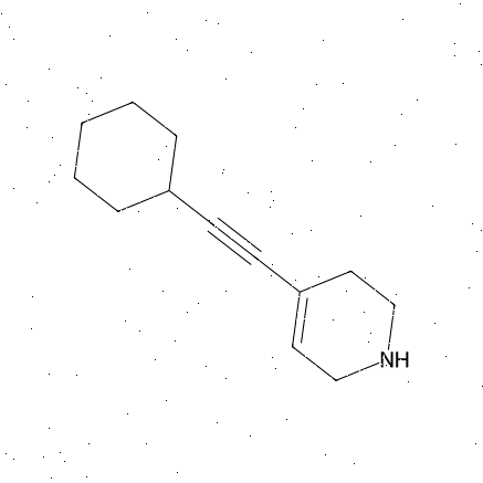 C(#CC1CCCCC1)C1=CCNCC1